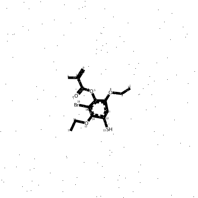 C=C(C)C(=O)Oc1c(OCC)cc(S)c(OCC)c1Br